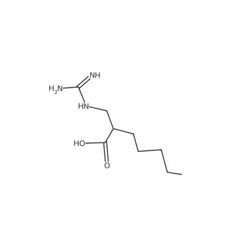 CCCCCC(CNC(=N)N)C(=O)O